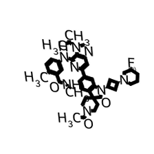 CNC(=O)c1cc(Nc2nc(-c3ccc4c(c3)N([C@H]3C[C@@H](N5CCC[C@@H](F)C5)C3)C(=O)C43CCN(C(C)=O)CC3)cc3ncn(C(C)C)c23)ccc1C